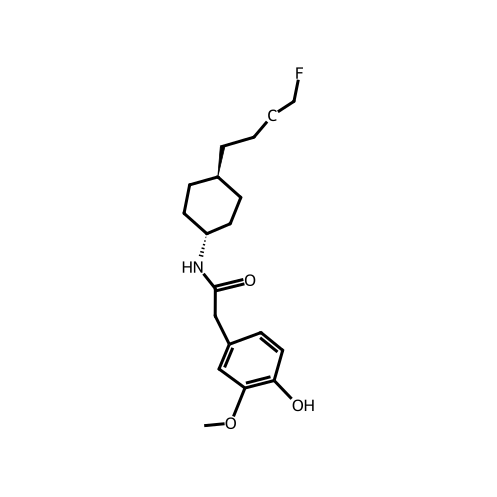 COc1cc(CC(=O)N[C@H]2CC[C@H](CCCCF)CC2)ccc1O